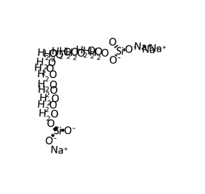 O.O.O.O.O.O.O.O.O.O.O.O.O.O.O.O.O=[Si]([O-])[O-].O=[Si]([O-])[O-].[Na+].[Na+].[Na+].[Na+]